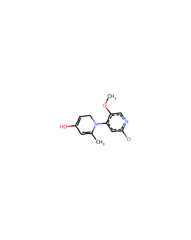 COc1cnc(Cl)cc1N1CC=C(O)C=C1C